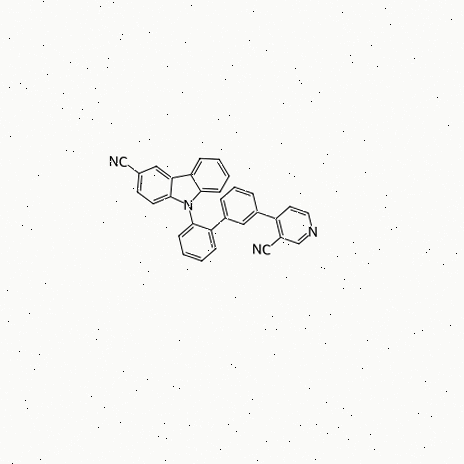 N#Cc1ccc2c(c1)c1ccccc1n2-c1ccccc1-c1cccc(-c2ccncc2C#N)c1